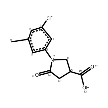 Cc1cc(Cl)cc(N2CC(C(=O)O)CC2=O)c1